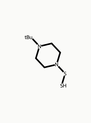 CC(C)(C)N1CCN(SS)CC1